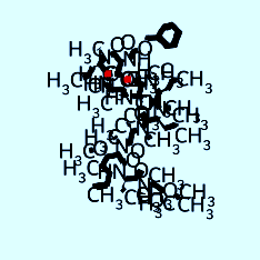 C/C=C/C[C@@H](C)[C@@H](OC)[C@@H](C(=O)N[C@@H](CC)C(=O)N(C)[C@H](C)C(=O)OC(C)(C)C)N(C)C(=O)[C@H](C(C)C)N(C)C(=O)[C@H](CC(C)C)N(C)C(=O)[C@H](CC(C)C)N(C)C(=O)[C@@H](C)NC(=O)[C@H](C)NC(=O)[C@H](CC(C)C)N(C)C(=O)[C@@H](NC(=O)OCc1ccccc1)C(C)C